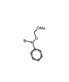 COCON(Br)c1ccccc1